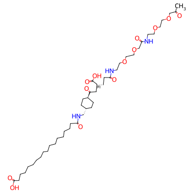 CC(=O)COCCOCCNC(=O)COCCOCCNC(=O)CC[C@H](CC(=O)[C@H]1CC[C@H](CNC(=O)CCCCCCCCCCCCCCCCC(=O)O)CC1)C(=O)O